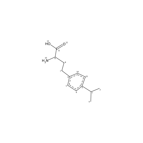 CC(C)c1ccc(CCC(N)C(=O)O)cc1